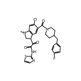 CN1CC(C(=O)C(=O)Nc2nccs2)c2cc(C(=O)N3CCC(Cc4ccc(F)cc4)CC3)c(Cl)cc21